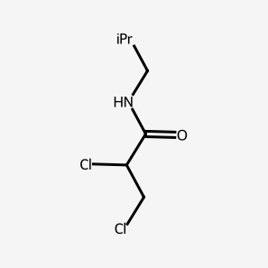 CC(C)CNC(=O)C(Cl)CCl